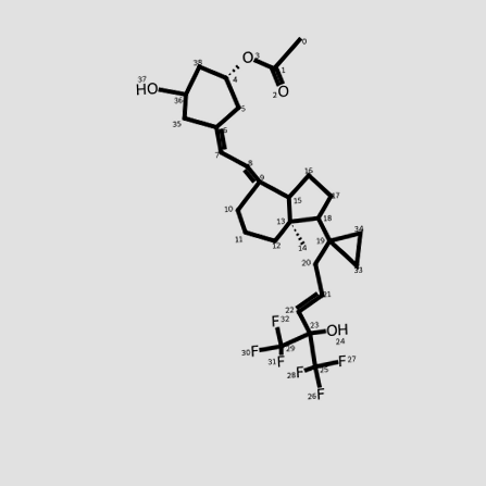 CC(=O)O[C@@H]1C/C(=C\C=C2/CCC[C@@]3(C)C2CCC3C2(C/C=C/C(O)(C(F)(F)F)C(F)(F)F)CC2)CC(O)C1